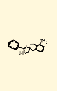 Bc1cccc2c1CCC1(CNC(c3ccccc3)=N1)C2